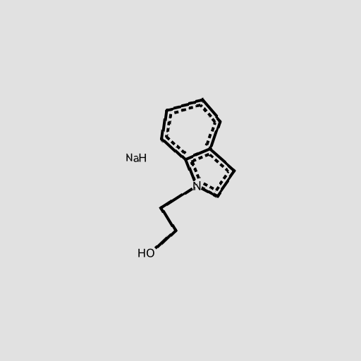 OCCn1ccc2ccccc21.[NaH]